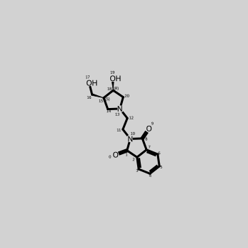 O=C1c2ccccc2C(=O)N1CCN1C[C@@H](CO)[C@@H](O)C1